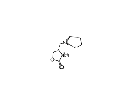 O=C1NC(CN2CCCC2)CO1